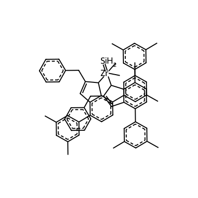 Cc1cc(C)cc(-c2ccc(-c3cc(C)cc(C)c3)c3c2C=C(Cc2ccccc2)[CH]3[Zr]([CH3])([CH3])(=[SiH2])[CH]2C(Cc3ccccc3)=Cc3c(-c4cc(C)cc(C)c4)ccc(-c4cc(C)cc(C)c4)c32)c1